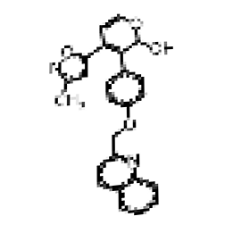 Cc1cc(C2=C(c3ccc(OCc4ccc5ccccc5n4)cc3)C(O)OC=C2)on1